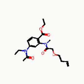 C=CCCOCC(=O)N(C)c1cc(N(CC)C(C)=O)ccc1C(=O)OCC